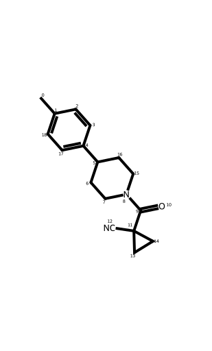 Cc1ccc(C2CCN(C(=O)C3(C#N)CC3)CC2)cc1